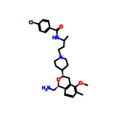 COc1c(C)ccc2c1C[C@@H](C1CCN(CCC(C)NC(=O)c3ccc(Cl)cc3)CC1)O[C@H]2CN